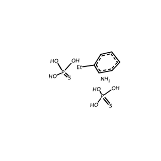 CCc1ccccc1.N.OP(O)(O)=S.OP(O)(O)=S